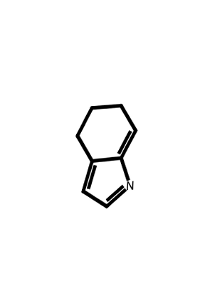 C1=NC2=CCCCC2=C1